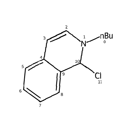 CCCCN1C=Cc2ccccc2C1Cl